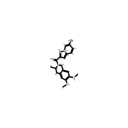 COc1cc2c(cc1OC)CN(C(=O)c1cc3ccc(Br)cn3n1)C(C)C2